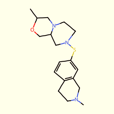 CC1CN2CCN(Sc3ccc4c(c3)CN(C)CC4)CC2CO1